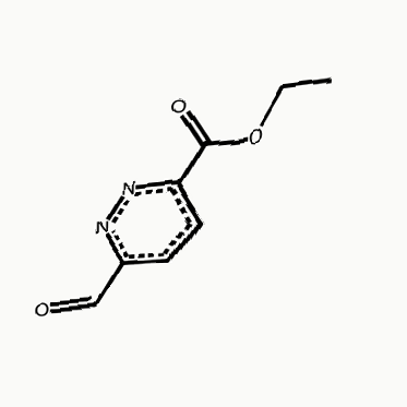 CCOC(=O)c1ccc(C=O)nn1